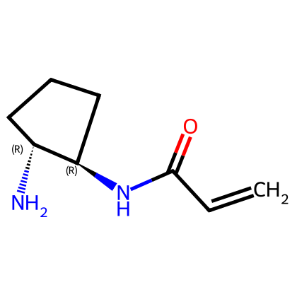 C=CC(=O)N[C@@H]1CCC[C@H]1N